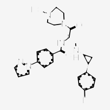 CN1CCN(C(=O)[C@H](CN[C@@H]2C[C@H]2c2ccc(F)cc2)NC(=O)c2ccc(-n3cccn3)cc2)CC1